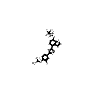 CC(C)Oc1ccc(-c2nc(-c3ccc(OS(=O)(=O)C(F)(F)F)c4occc34)no2)cc1Cl